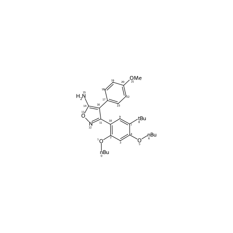 CCCCOc1cc(OCCCC)c(C(C)(C)C)cc1-c1noc(N)c1-c1ccc(OC)cc1